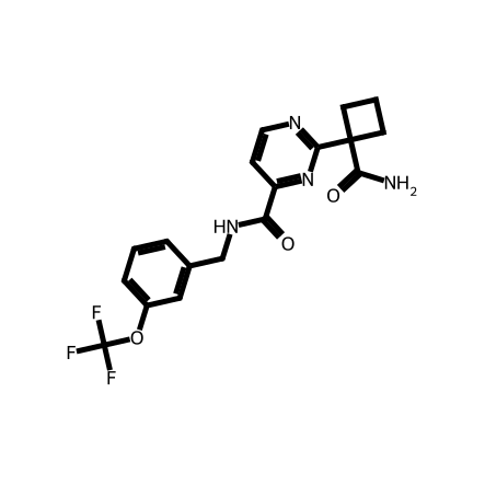 NC(=O)C1(c2nccc(C(=O)NCc3cccc(OC(F)(F)F)c3)n2)CCC1